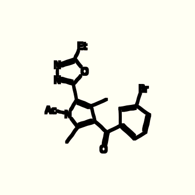 [CH2]C(=O)n1c(C)c(C(=O)c2cccc(Br)c2)c(C)c1-c1nnc(CC)o1